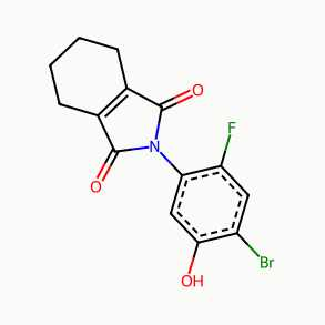 O=C1C2=C(CCCC2)C(=O)N1c1cc(O)c(Br)cc1F